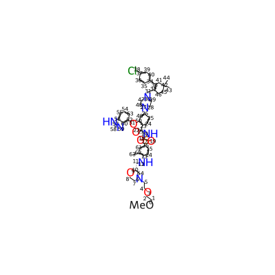 COCCOCCN1CCO[C@H](CNc2ccc(S(=O)(=O)NC(=O)c3ccc(N4CCN(CC5=C(c6ccc(Cl)cc6)CC(C)(C)CC5)CC4)cc3Oc3cccc4[nH]cnc34)cc2C)C1